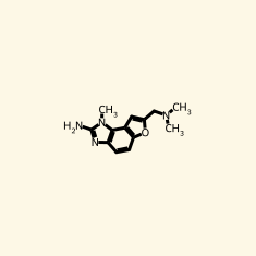 CN(C)Cc1cc2c(ccc3nc(N)n(C)c32)o1